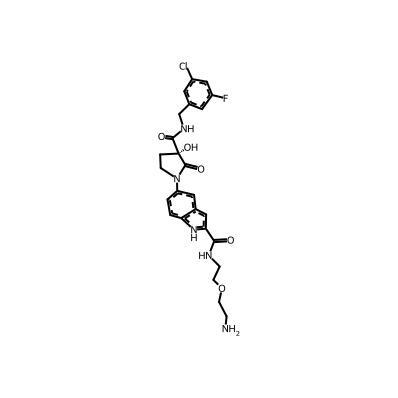 NCCOCCNC(=O)c1cc2cc(N3CC[C@@](O)(C(=O)NCc4cc(F)cc(Cl)c4)C3=O)ccc2[nH]1